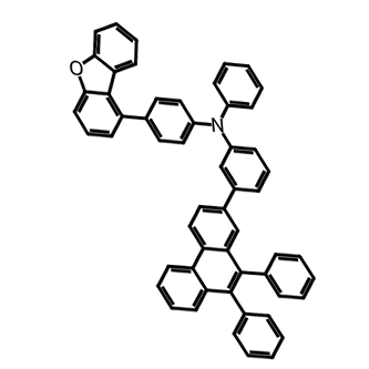 c1ccc(-c2c(-c3ccccc3)c3cc(-c4cccc(N(c5ccccc5)c5ccc(-c6cccc7oc8ccccc8c67)cc5)c4)ccc3c3ccccc23)cc1